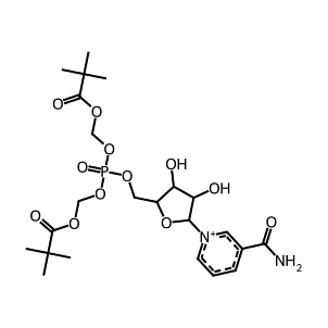 CC(C)(C)C(=O)OCOP(=O)(OCOC(=O)C(C)(C)C)OCC1OC([n+]2cccc(C(N)=O)c2)C(O)C1O